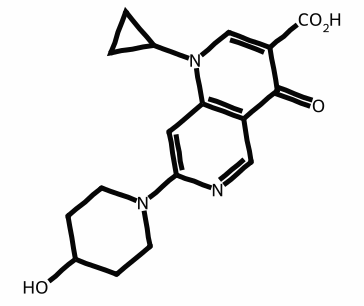 O=C(O)c1cn(C2CC2)c2cc(N3CCC(O)CC3)ncc2c1=O